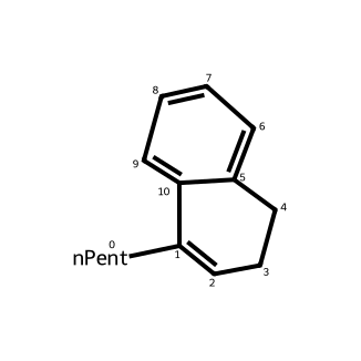 CCCCCC1=CCCc2ccccc21